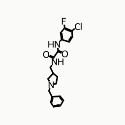 O=C(NCC1CCN(Cc2ccccc2)C1)C(=O)Nc1ccc(Cl)c(F)c1